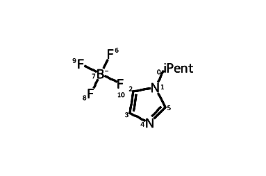 CCCC(C)n1ccnc1.F[B-](F)(F)F